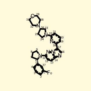 Fc1cccc([C@H]2CCCN2c2ccc3ncc(-c4cccc(N5CC[C@H](N6CCOCC6)C5)n4)n3n2)c1